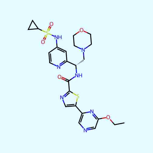 CCOc1cncc(-c2cnc(C(=O)N[C@@H](CN3CCOCC3)c3cc(NS(=O)(=O)C4CC4)ccn3)s2)n1